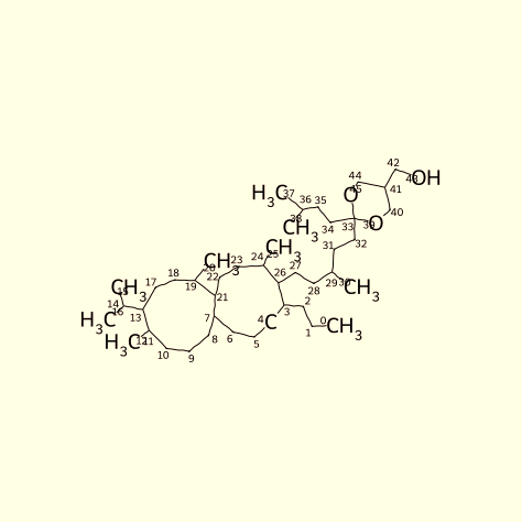 CCCC1CCCC2CCCC(C)C(C(C)C)CCC(C)C2CCC(C)C1CCC(C)CCC1(CCC(C)C)OCC(CO)CO1